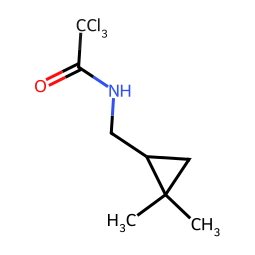 CC1(C)CC1CNC(=O)C(Cl)(Cl)Cl